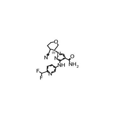 N#CC1CCOC[C@H]1n1cc(C(N)=O)c(Nc2ccc(C(F)F)nc2)n1